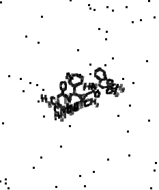 CC1(C)CC(=O)N(C(c2cccnc2)C2C(C(=O)N[C@H]3CC(C)(C)Oc4ccccc43)C2(C)C)C(=N)N1